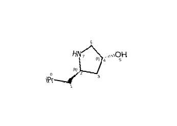 CC(C)C[C@@H]1C[C@@H](O)CN1